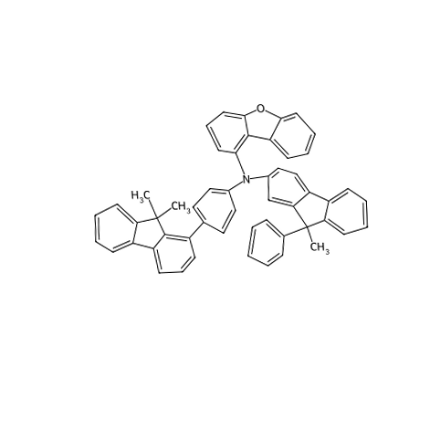 CC1(C)c2ccccc2-c2cccc(-c3ccc(N(c4ccc5c(c4)C(C)(c4ccccc4)c4ccccc4-5)c4cccc5oc6ccccc6c45)cc3)c21